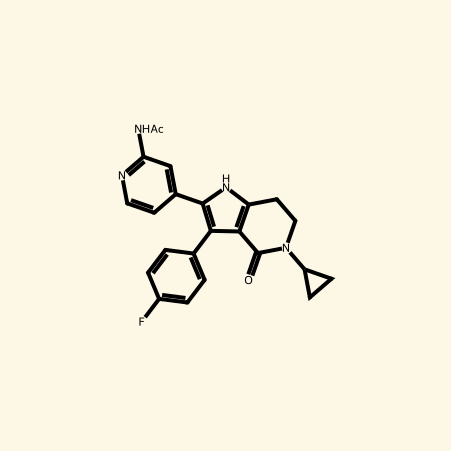 CC(=O)Nc1cc(-c2[nH]c3c(c2-c2ccc(F)cc2)C(=O)N(C2CC2)CC3)ccn1